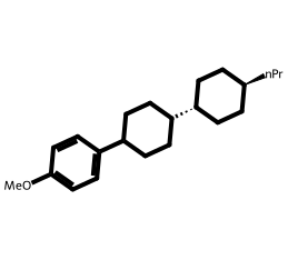 CCC[C@H]1CC[C@H](C2CCC(c3ccc(OC)cc3)CC2)CC1